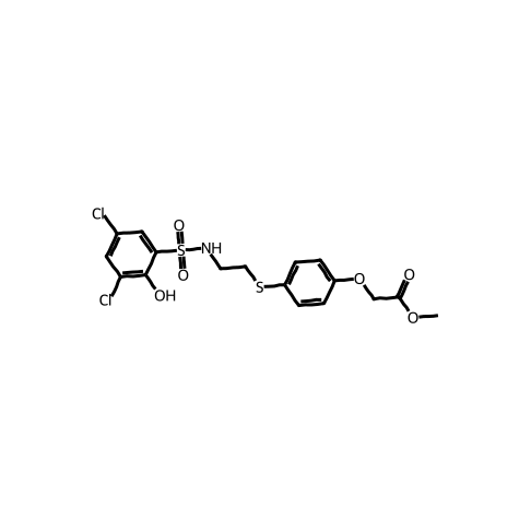 COC(=O)COc1ccc(SCCNS(=O)(=O)c2cc(Cl)cc(Cl)c2O)cc1